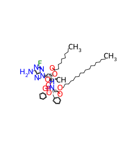 C#C[C@]1(COP(=O)(N[C@@H](Cc2ccccc2)C(=O)OCCCCCCCCCCCCCCCCCC)Oc2ccccc2)O[C@@H](n2cnc3c(N)nc(F)nc32)C[C@@H]1OC(=O)CCCCCCCCC